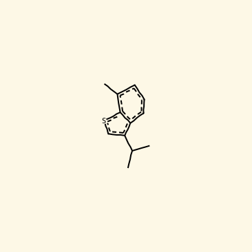 Cc1cccc2c(C(C)C)csc12